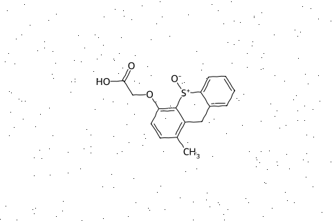 Cc1ccc(OCC(=O)O)c2c1Cc1ccccc1[S+]2[O-]